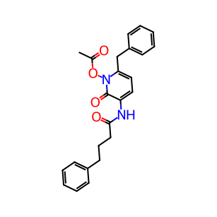 CC(=O)On1c(Cc2ccccc2)ccc(NC(=O)CCCc2ccccc2)c1=O